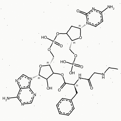 CCNCC(=O)N[C@@H](Cc1ccccc1)C(=O)OC1C(O)[C@H](n2cnc3c(N)ncnc32)O[C@@H]1COP(=O)(O)OC1C[C@H](n2ccc(N)nc2=O)O[C@@H]1COP(=O)(O)O